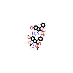 CCOC(=O)C1=C(c2ccccc2)c2ccc(OC)cc2C1N.CCOC(=O)C1=C(c2ccccc2)c2ccc(OC)cc2C1NC(C)=O